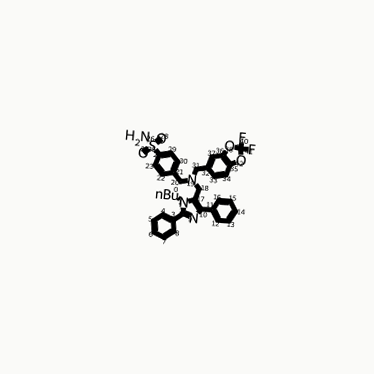 CCCCn1c(-c2ccccc2)nc(-c2ccccc2)c1CN(Cc1ccc(S(N)(=O)=O)cc1)Cc1ccc2c(c1)OC(F)(F)O2